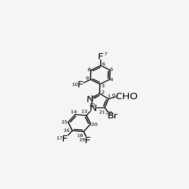 O=Cc1c(-c2ccc(F)cc2F)nn(-c2ccc(F)c(F)c2)c1Br